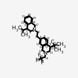 CC(C)C1CN(CCc2ccc3c(c2)CN(CC(F)(F)F)CC3C(C)(C)C)Cc2ccccc21